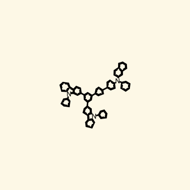 c1ccc(N(c2ccc(-c3ccc(-c4cc(-c5ccc6c7ccccc7n(-c7ccccc7)c6c5)cc(-c5ccc6c7ccccc7n(-c7ccccc7)c6c5)c4)cc3)cc2)c2ccc3ccccc3c2)cc1